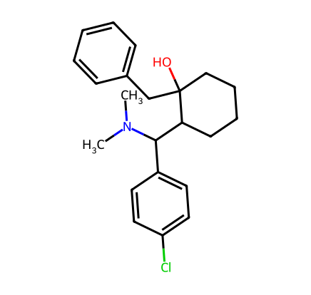 CN(C)C(c1ccc(Cl)cc1)C1CCCCC1(O)Cc1ccccc1